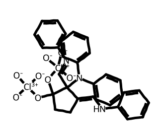 [O-][Cl+3]([O-])([O-])OC1(O[Cl+3]([O-])([O-])[O-])CCC(=CNc2ccccc2)C1(C=Nc1ccccc1)N(c1ccccc1)c1ccccc1